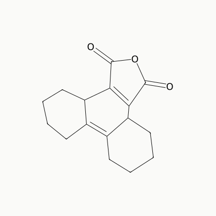 O=C1OC(=O)C2=C1C1CCCCC1=C1CCCCC12